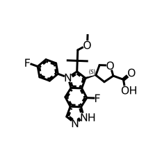 COCC(C)(C)c1c([C@H]2COC(C(=O)O)C2)c2c(F)c3[nH]ncc3cc2n1-c1ccc(F)cc1